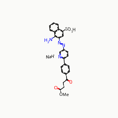 COC(=O)CCC(=O)c1ccc(-c2ccc(/N=N/c3cc(S(=O)(=O)O)c4ccccc4c3N)cn2)cc1.[NaH]